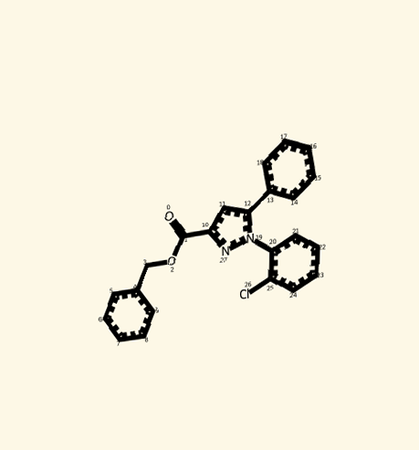 O=C(OCc1ccccc1)c1cc(-c2ccccc2)n(-c2ccccc2Cl)n1